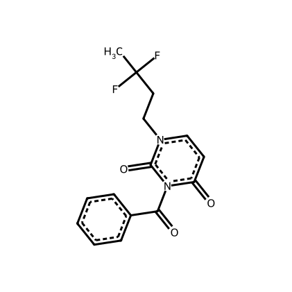 CC(F)(F)CCn1ccc(=O)n(C(=O)c2ccccc2)c1=O